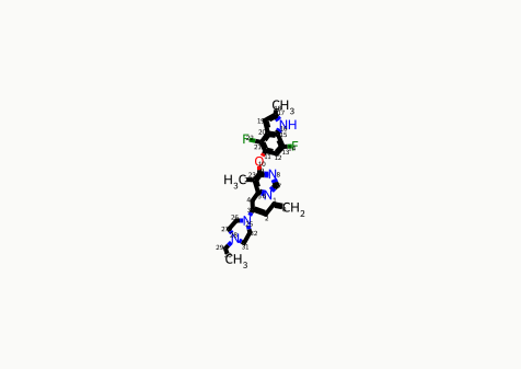 C=C/C=C(\Cc1ncnc(Oc2cc(F)c3[nH]c(C)cc3c2F)c1C)N1CCN(CC)CC1